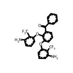 Nc1cccc(Oc2cccc(C(=O)c3ccccc3)c2Oc2cccc(N)c2C(F)(F)F)c1C(F)(F)F